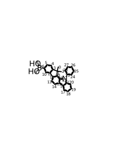 CC1(C)c2ccc(B(O)O)cc2-c2ccc3c4ccccc4n(-c4ccccc4)c3c21